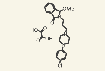 COC1c2ccccc2C(=O)N1CCCN1CCN(c2ccc(Cl)cc2)CC1.O=C(O)C(=O)O